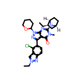 CC[C@@H]1C[C@@H]2CC[C@H]1N2c1nc2c(c(-c3ccc4nn(CC)cc4c3Cl)nn2C2CCCCO2)c(=O)n1C